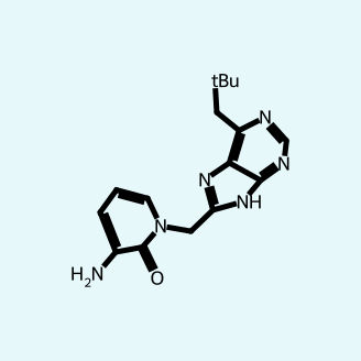 CC(C)(C)Cc1ncnc2[nH]c(Cn3cccc(N)c3=O)nc12